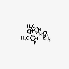 [CH2]c1cc(F)c(F)cc1-c1cccn1-c1nc(Nc2ccnn2C)ncc1C